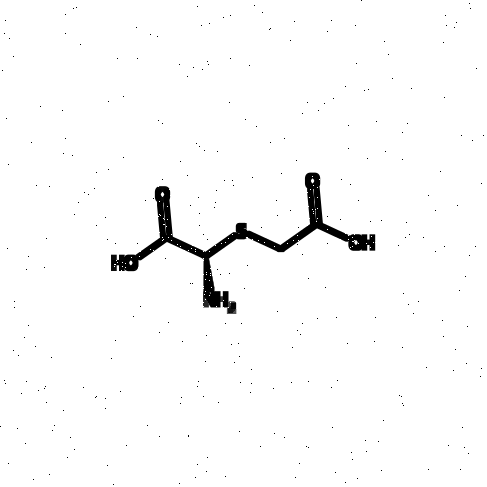 N[C@H](SCC(=O)O)C(=O)O